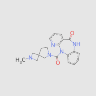 CN1CC2(CCN(C(=O)N3c4ccccc4NC(=O)c4cccnc43)C2)C1